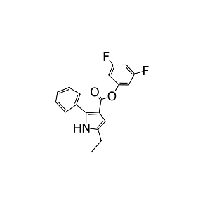 CCc1cc(C(=O)Oc2cc(F)cc(F)c2)c(-c2ccccc2)[nH]1